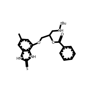 Cc1cc(OCC(CNC(C)(C)C)OC(=O)c2ccccc2)c2[nH]c(=S)[nH]c2c1